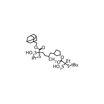 CCC(SC(C)(C)C)(C(=O)OC1CCC(CC(C)CCC(SC(C)C)(C(=O)OCC23CC4CC(CC(C4)C2)C3)S(=O)(=O)O)C1)S(=O)(=O)O